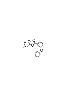 CNCC(=O)OC(=O)c1cccc(Oc2ccccc2)c1